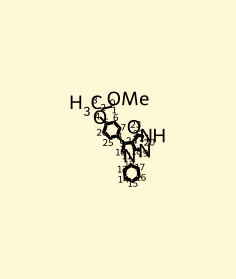 COCC(C)Oc1ccc(-c2cn(-c3ccccc3)c3nc[nH]c(=O)c23)cc1